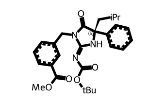 COC(=O)c1cccc(CN2C(=O)[C@](CC(C)C)(c3ccccc3)NC2=NC(=O)OC(C)(C)C)c1